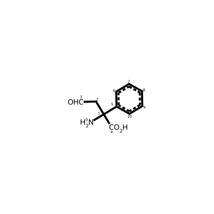 NC(CC=O)(C(=O)O)c1ccccc1